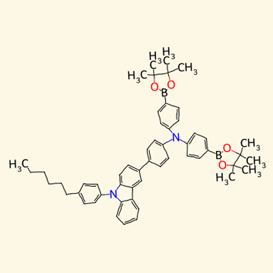 CCCCCCc1ccc(-n2c3ccccc3c3cc(-c4ccc(N(c5ccc(B6OC(C)(C)C(C)(C)O6)cc5)c5ccc(B6OC(C)(C)C(C)(C)O6)cc5)cc4)ccc32)cc1